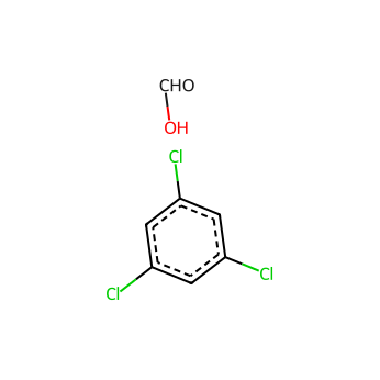 Clc1cc(Cl)cc(Cl)c1.O=CO